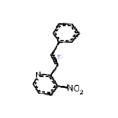 O=[N+]([O-])c1cccnc1/C=C/c1ccccc1